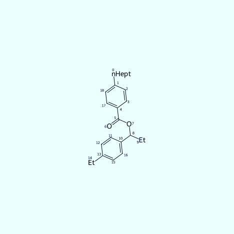 CCCCCCCc1ccc(C(=O)OC(CC)c2ccc(CC)cc2)cc1